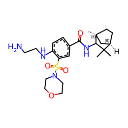 CC1(C)C(NC(=O)c2ccc(NCCN)c(S(=O)(=O)N3CCOCC3)c2)[C@@]2(C)CC[C@@H]1C2